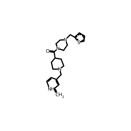 C=C/C=C(\C=C/N)CN1CCC(C(=O)N2CCN(Cc3cccs3)CC2)CC1